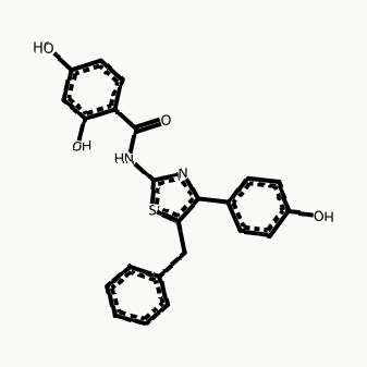 O=C(Nc1nc(-c2ccc(O)cc2)c(Cc2ccccc2)s1)c1ccc(O)cc1O